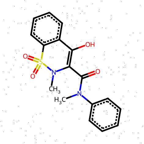 CN(C(=O)C1=C(O)c2ccccc2S(=O)(=O)N1C)c1ccccc1